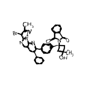 Cc1nn2c(ncc3cc(-c4ccccc4)c(-c4ccc([C@]5(N6C(=O)c7ccccc7C6=O)C[C@@](C)(O)C5)cc4)nc32)c1Br